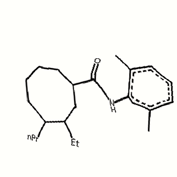 CCCC1CCCCC(C(=O)Nc2c(C)cccc2C)CC1CC